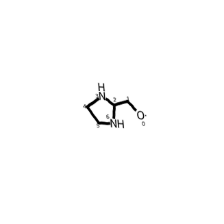 [O]CC1NCCN1